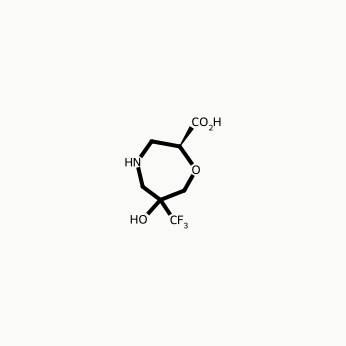 O=C(O)[C@@H]1CNCC(O)(C(F)(F)F)CO1